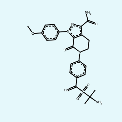 COc1ccc(-n2nc(C(N)=O)c3c2C(=O)N(c2ccc(C(=N)S(=O)(=O)C(C)(C)N)cc2)CC3)cc1